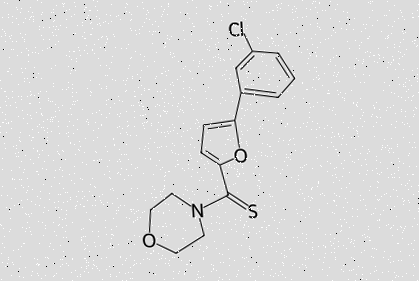 S=C(c1ccc(-c2cccc(Cl)c2)o1)N1CCOCC1